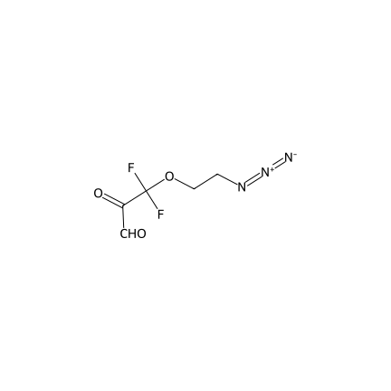 [N-]=[N+]=NCCOC(F)(F)C(=O)C=O